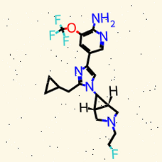 Nc1ncc(-c2cn([C@H]3[C@@H]4CN(CCF)C[C@@H]43)c(CC3CC3)n2)cc1OC(F)(F)F